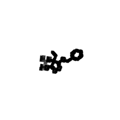 CCC(N)(C(=O)O)C(=O)OCc1ccccc1